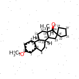 COc1ccc2c(c1)CC[C@@H]1[C@@H]2CC[C@]2(C)C(=O)C3(CCCC3)C[C@@H]12